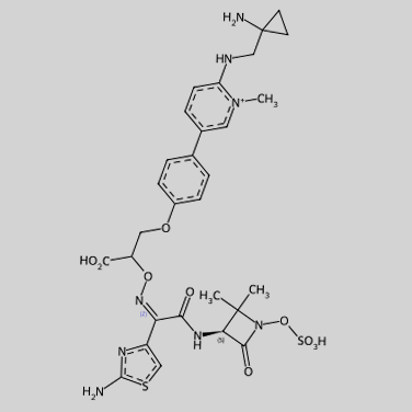 C[n+]1cc(-c2ccc(OCC(O/N=C(\C(=O)N[C@@H]3C(=O)N(OS(=O)(=O)O)C3(C)C)c3csc(N)n3)C(=O)O)cc2)ccc1NCC1(N)CC1